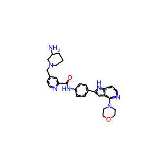 NC1CCCN(Cc2ccnc(C(=O)Nc3ccc(-c4cc5c(N6CCOCC6)nccc5[nH]4)cc3)c2)C1